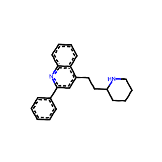 c1ccc(-c2cc(CCC3CCCCN3)c3ccccc3n2)cc1